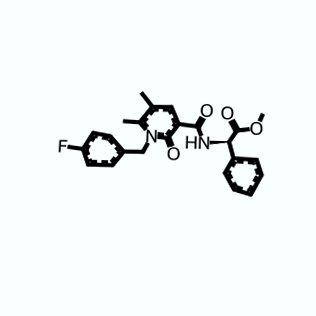 COC(=O)[C@H](NC(=O)c1cc(C)c(C)n(Cc2ccc(F)cc2)c1=O)c1ccccc1